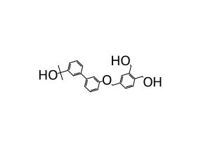 CC(C)(O)c1cccc(-c2cccc(OCc3ccc(CO)c(CO)c3)c2)c1